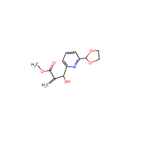 C=C(C(=O)OC)C(O)c1cccc(C2OCCO2)n1